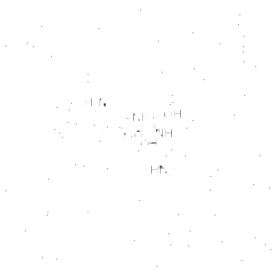 CC(C)C(=O)[C@H](CCN)NC(=O)[C@@H](NC(=O)[C@H]1CCCNC1)[C@H](C)O